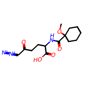 COC1(C(=O)NC(CCC(=O)C=[N+]=[N-])C(=O)O)CCCCC1